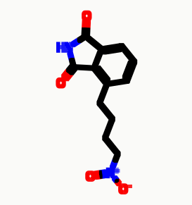 O=C1NC(=O)c2c(CCCC[N+](=O)[O-])cccc21